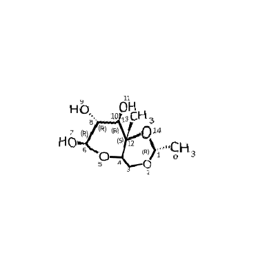 C[C@@H]1OCC2O[C@@H](O)[C@H](O)[C@@H](O)[C@]2(C)O1